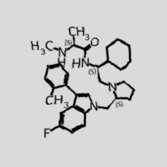 CN[C@@H](C)C(=O)N[C@H](CN1CCC[C@H]1Cn1cc(-c2ccccc2C)c2cc(F)ccc21)C1CCCCC1